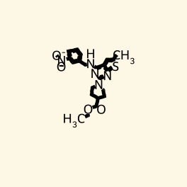 CCOC(=O)C1CCN(c2nc(NCc3cccc([N+](=O)[O-])c3)c3cc(C)sc3n2)CC1